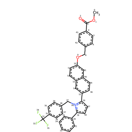 COC(=O)c1ccc(COc2ccc3cc(-c4ccc(-c5ccccc5)n4Cc4ccc(C(F)(F)F)cc4)ccc3c2)cc1